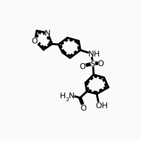 NC(=O)c1cc(S(=O)(=O)Nc2ccc(-c3cocn3)cc2)ccc1O